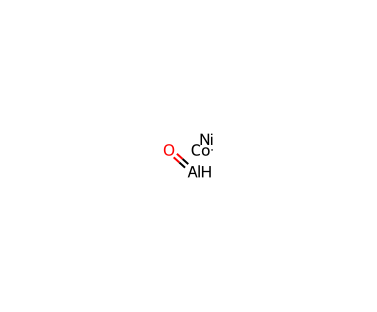 [Co].[Ni].[O]=[AlH]